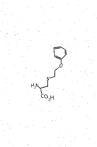 N[C@@H](CSCCOc1ccccc1)C(=O)O